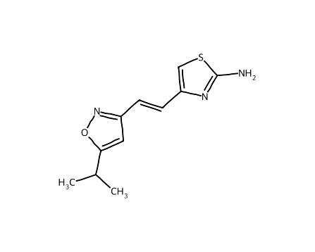 CC(C)c1cc(/C=C/c2csc(N)n2)no1